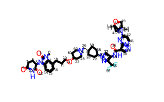 Cn1c(=O)n(C2CCC(=O)NC2=O)c2cccc(CCCOC3CCN(C[C@H]4CC[C@H](n5cc(NC(=O)c6cnn7ccc(N8C[C@@H]9C[C@H]8CO9)nc67)c(C(F)F)n5)CC4)CC3)c21